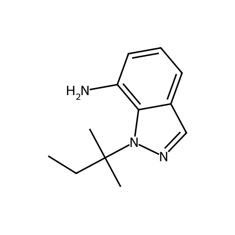 CCC(C)(C)n1ncc2cccc(N)c21